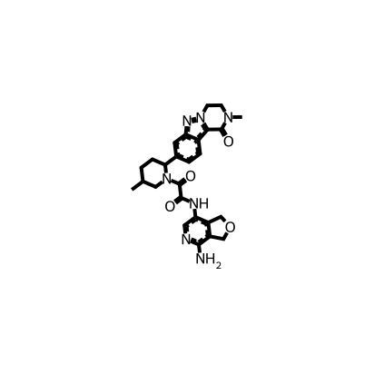 CC1CCC(c2ccc3c4n(nc3c2)CCN(C)C4=O)N(C(=O)C(=O)Nc2cnc(N)c3c2COC3)C1